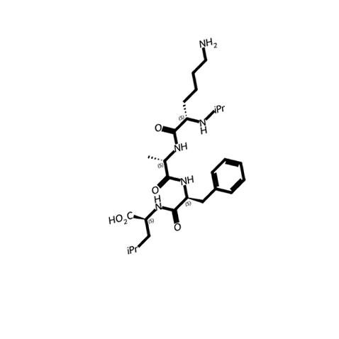 CC(C)C[C@H](NC(=O)[C@H](Cc1ccccc1)NC(=O)[C@H](C)NC(=O)[C@H](CCCCN)NC(C)C)C(=O)O